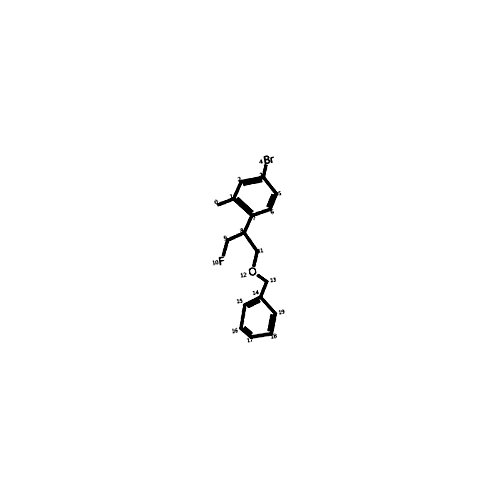 Cc1cc(Br)ccc1C(CF)COCc1ccccc1